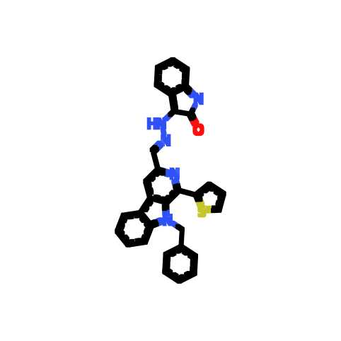 O=C1N=c2ccccc2=C1NN=Cc1cc2c3ccccc3n(Cc3ccccc3)c2c(-c2cccs2)n1